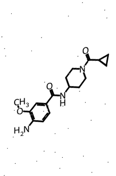 COc1cc(C(=O)NC2CCN(C(=O)C3CC3)CC2)ccc1N